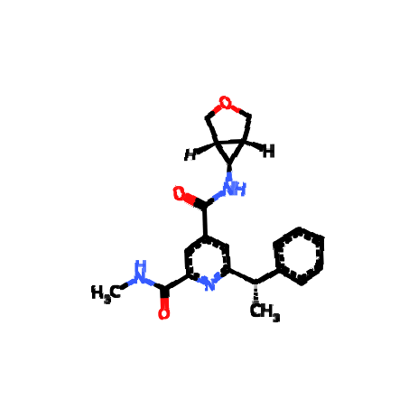 CNC(=O)c1cc(C(=O)N[C@H]2[C@@H]3COC[C@@H]32)cc([C@@H](C)c2ccccc2)n1